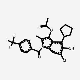 CC(=O)Oc1c(C)n(C(=O)c2ccc(C(F)(F)F)cc2)c2cc(Cl)c(O)c(C3CCCC3)c12